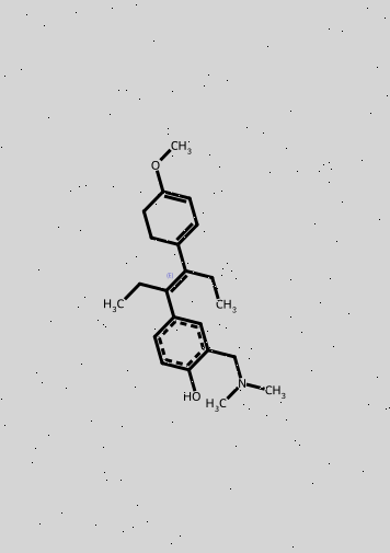 CC/C(C1=CC=C(OC)CC1)=C(/CC)c1ccc(O)c(CN(C)C)c1